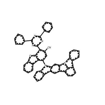 N#Cc1cc(-n2c3ccccc3c3cc4c5cccc6c7ccccc7n(c4cc32)c65)c2c(oc3ccccc32)c1-c1nc(-c2ccccc2)nc(-c2ccccc2)n1